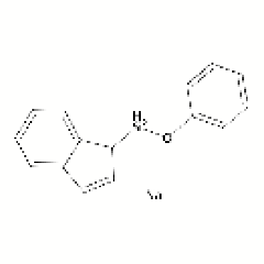 C1=CC([SiH2]Oc2ccccc2)c2ccccc21.[Na]